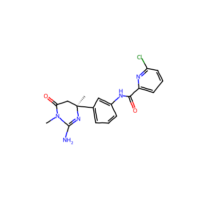 CN1C(=O)C[C@@](C)(c2cccc(NC(=O)c3cccc(Cl)n3)c2)N=C1N